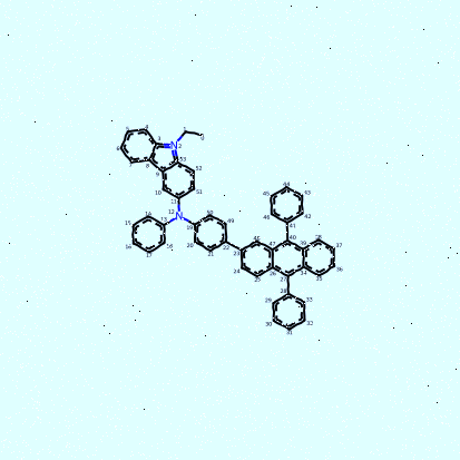 CCn1c2ccccc2c2cc(N(c3ccccc3)c3ccc(-c4ccc5c(-c6ccccc6)c6ccccc6c(-c6ccccc6)c5c4)cc3)ccc21